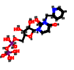 O=c1ccn(C2OC(COP(=O)(O)OP(=O)(O)O)[C@H](O)C2O)c(=O)n1Cc1ccccn1